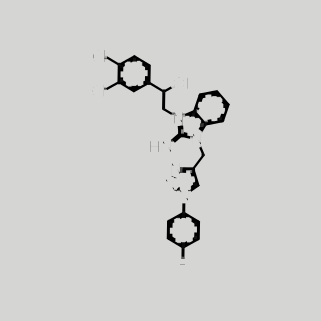 N=c1n(Cc2cn(-c3ccc(F)cc3)nn2)c2ccccc2n1CC(O)c1ccc(Cl)c(Cl)c1